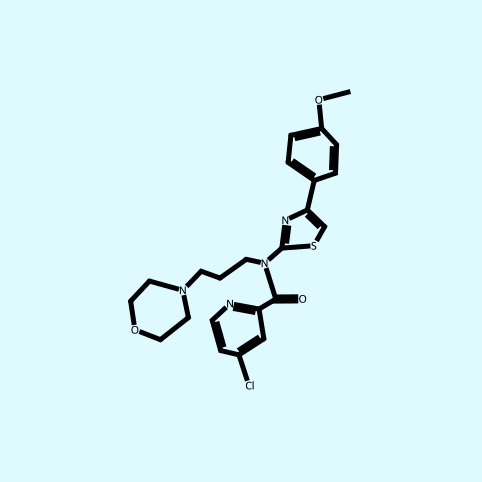 COc1ccc(-c2csc(N(CCCN3CCOCC3)C(=O)c3cc(Cl)ccn3)n2)cc1